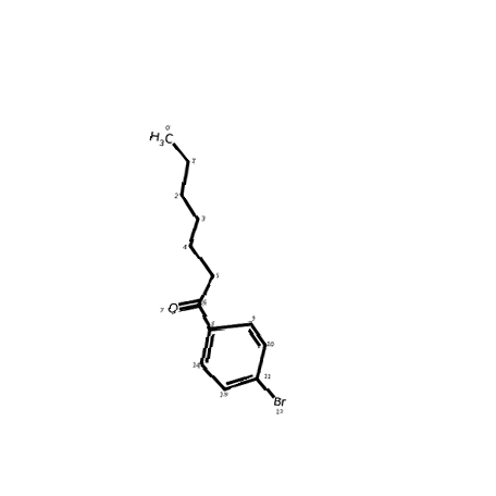 CCCCCCC(=O)c1ccc(Br)cc1